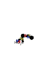 CN(C)C(=O)CCSC(SCCC(=O)O)c1cccc(OCc2csc(-c3ccccc3)n2)c1